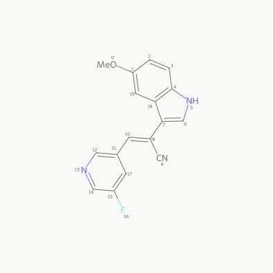 COc1ccc2[nH]cc(C(C#N)=Cc3cncc(F)c3)c2c1